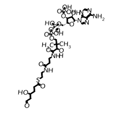 CC(C)(COP(=O)(O)OP(=O)(O)OC[C@H]1O[C@@H](n2cnc3c(N)ncnc32)[C@H](O)[C@@H]1OP(=O)(O)O)C(O)C(=O)NCCC(=O)NCCSC(=O)CCC(O)CC=O